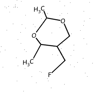 CC1OCC(CF)C(C)O1